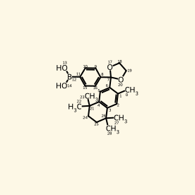 Cc1cc2c(cc1C1(c3ccc(B(O)O)cc3)OCCO1)C(C)(C)CCC2(C)C